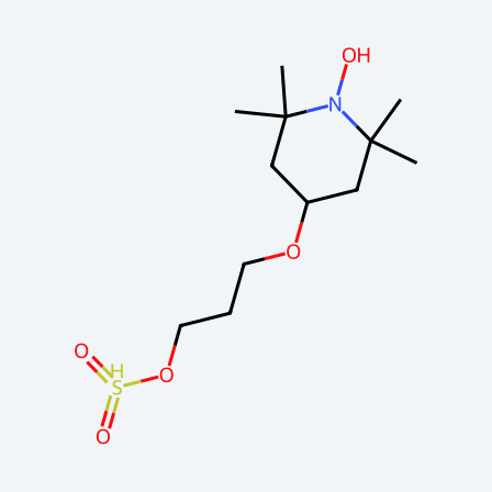 CC1(C)CC(OCCCO[SH](=O)=O)CC(C)(C)N1O